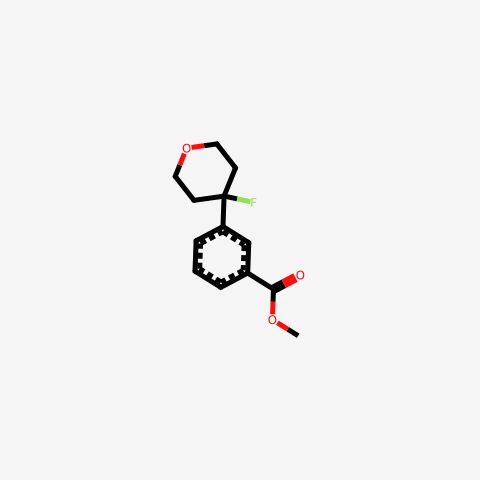 COC(=O)c1cccc(C2(F)CCOCC2)c1